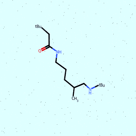 CC(CCCNC(=O)CC(C)(C)C)CNC(C)(C)C